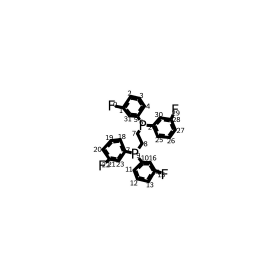 Fc1cccc(P(CCP(c2cccc(F)c2)c2cccc(F)c2)c2cccc(F)c2)c1